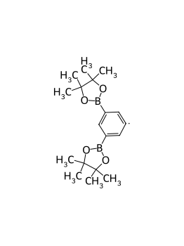 CC1(C)OB(c2c[c]cc(B3OC(C)(C)C(C)(C)O3)c2)OC1(C)C